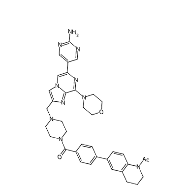 CC(=O)N1CCCc2cc(-c3ccc(C(=O)N4CCN(Cc5cn6cc(-c7cnc(N)nc7)nc(N7CCOCC7)c6n5)CC4)cc3)ccc21